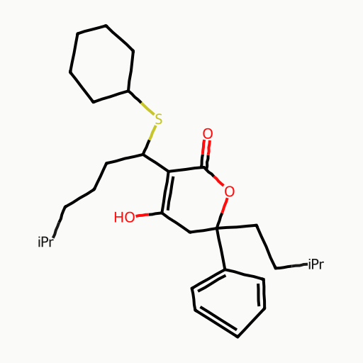 CC(C)CCCC(SC1CCCCC1)C1=C(O)CC(CCC(C)C)(c2ccccc2)OC1=O